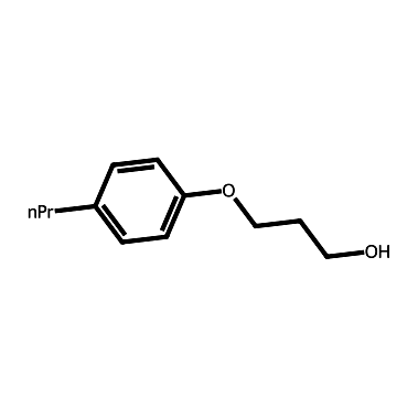 [CH2]CCc1ccc(OCCCO)cc1